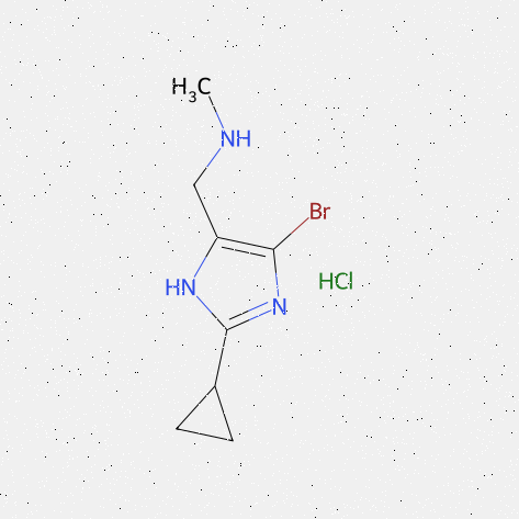 CNCc1[nH]c(C2CC2)nc1Br.Cl